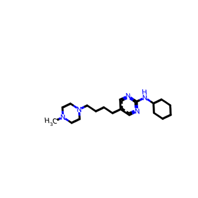 CN1CCN(CCCCc2cnc(NC3CCCCC3)nc2)CC1